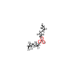 C=C[Si](C)(C)CC[Si](C)(C)COC(=O)OC[Si](C)(C)CC[Si](C)(C)C=C